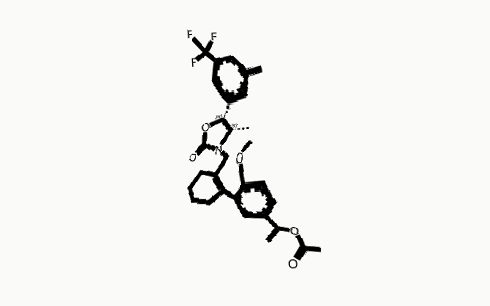 COc1ccc(C(C)OC(C)=O)cc1C1=C(CN2C(=O)O[C@H](c3cc(C)cc(C(F)(F)F)c3)[C@@H]2C)CCCC1